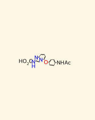 CC(=O)Nc1ccc(Oc2cccc3nc(NC(=O)O)cn23)cc1